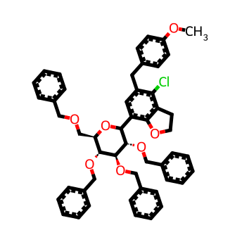 COc1ccc(Cc2cc(C3O[C@H](COCc4ccccc4)[C@@H](OCc4ccccc4)[C@H](OCc4ccccc4)[C@H]3OCc3ccccc3)c3c(c2Cl)CCO3)cc1